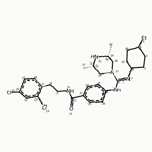 CCC1CCC(/N=C(/Nc2ccc(C(=O)NCCc3ccc(Cl)cc3Cl)cc2)N2C[C@@H](C)N[C@@H](C)C2)CC1